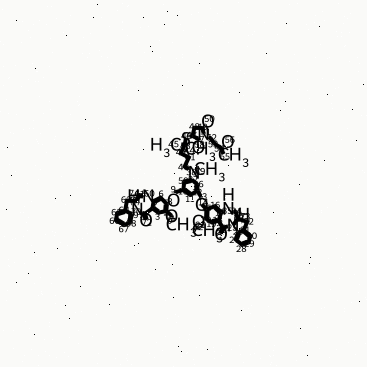 COc1cc2c(cc1OCc1cc(COc3cc4c(cc3OC)C(=O)N3c5ccccc5C[C@H]3CN4)cc(N(C)CCCC(C)(C)SC3CC(=O)N(CCC(C)=O)C3=O)c1)N=C[C@@H]1Cc3ccccc3N1C2=O